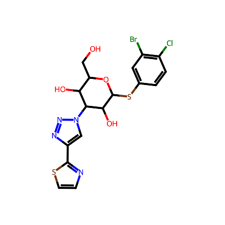 OCC1OC(Sc2ccc(Cl)c(Br)c2)C(O)C(n2cc(-c3nccs3)nn2)C1O